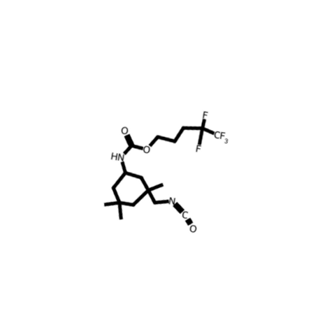 CC1(C)CC(NC(=O)OCCCC(F)(F)C(F)(F)F)CC(C)(CN=C=O)C1